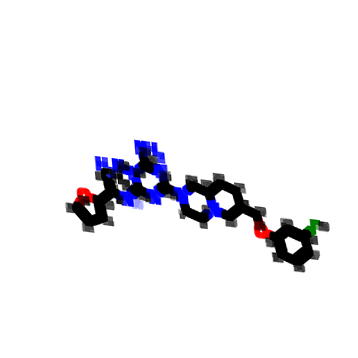 C=C(/N=c1/nc(N2CCN3CC(COc4cccc(F)c4)CCC3C2)nc(N)n1N)c1ccco1